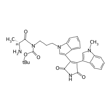 C[C@@H](N)C(=O)N(CCCn1cc(C2=C(c3cn(C)c4ccccc34)C(=O)NC2=O)c2ccccc21)C(=O)OC(C)(C)C